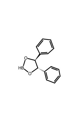 B1O[C@@H](c2ccccc2)[C@H](c2ccccc2)O1